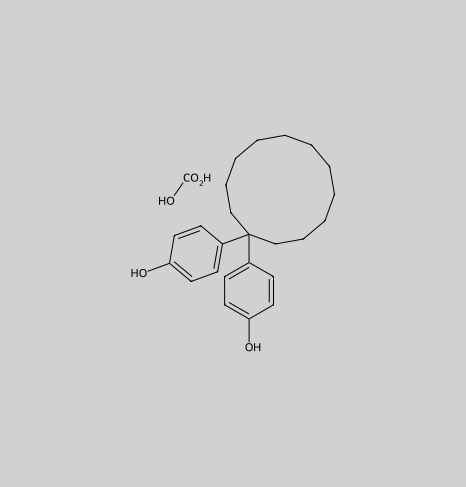 O=C(O)O.Oc1ccc(C2(c3ccc(O)cc3)CCCCCCCCCCC2)cc1